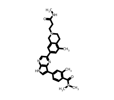 CNC(=O)CCN1CCc2c(C)cc(-c3cnc4[nH]cc(-c5ccc(C(=O)N(C)C)c(C)c5)c4n3)cc2C1